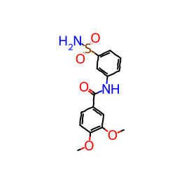 COc1ccc(C(=O)Nc2cccc(S(N)(=O)=O)c2)cc1OC